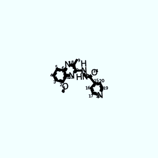 COc1cccc2nc(C)c(NNC(=O)c3ccncc3)nc12